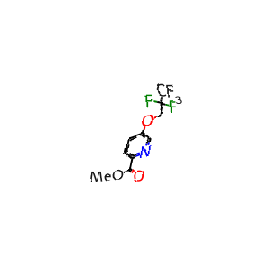 COC(=O)c1ccc(OCC(F)(F)C(F)(F)F)cn1